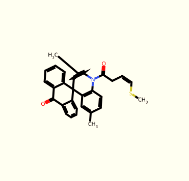 CS/C=C\CC(=O)N1c2ccc(C)cc2C2(c3ccccc3C(=O)c3ccccc32)c2cc(C)ccc21